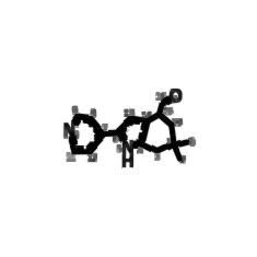 CC1(C)Cc2[nH]c(-c3ccncc3)cc2C(C=O)C1